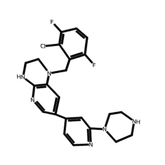 Fc1ccc(F)c(CN2CCNc3ncc(-c4ccnc(N5CCNCC5)c4)cc32)c1Cl